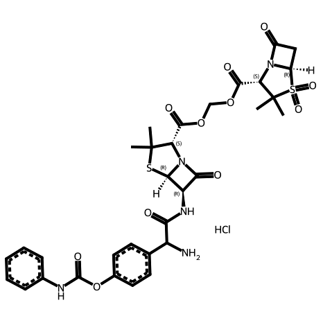 CC1(C)S[C@@H]2[C@H](NC(=O)C(N)c3ccc(OC(=O)Nc4ccccc4)cc3)C(=O)N2[C@H]1C(=O)OCOC(=O)[C@@H]1N2C(=O)C[C@H]2S(=O)(=O)C1(C)C.Cl